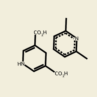 Cc1cccc(C)n1.O=C(O)C1=CNC=C(C(=O)O)C1